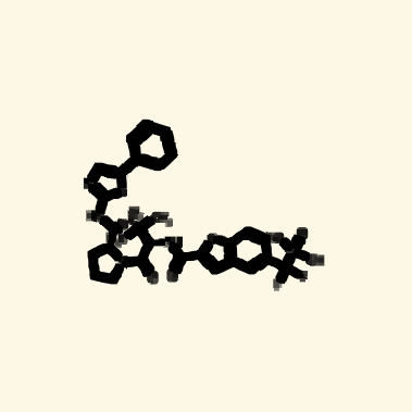 CC(C)(C)[C@H](NC(=O)c1cc2cc(C(F)(F)P(=O)(O)O)ccc2s1)C(=O)N1CCC[C@H]1C(=O)Nc1ncc(-c2ccccc2)s1